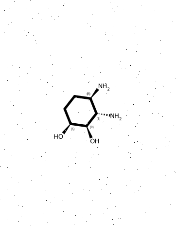 N[C@@H]1[C@@H](O)[C@@H](O)CC[C@H]1N